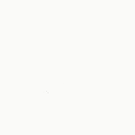 C#C/C=C/c1ccc([N+](=O)[O-])cc1